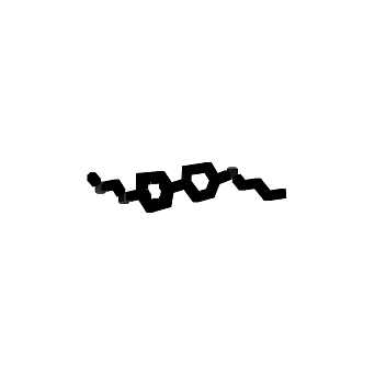 CCCCOC1CCC(c2ccc(OCOC)cc2)CC1